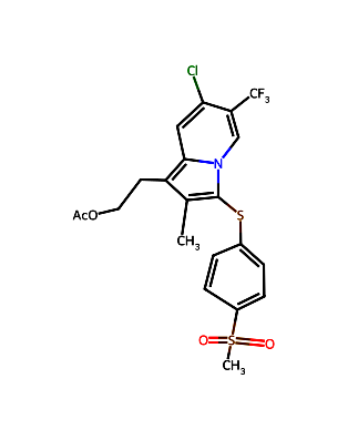 CC(=O)OCCc1c(C)c(Sc2ccc(S(C)(=O)=O)cc2)n2cc(C(F)(F)F)c(Cl)cc12